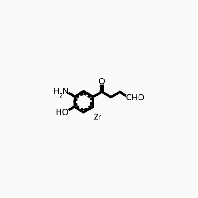 Nc1cc(C(=O)CCC=O)ccc1O.[Zr]